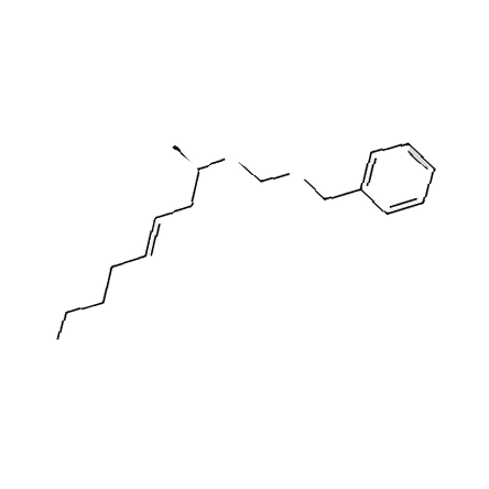 C[C@H](C/C=C/CCCI)OCOCc1ccccc1